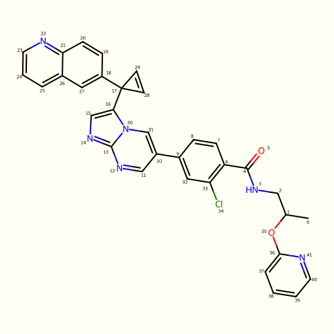 CC(CNC(=O)c1ccc(-c2cnc3ncc(C4(c5ccc6ncccc6c5)C=C4)n3c2)cc1Cl)Oc1ccccn1